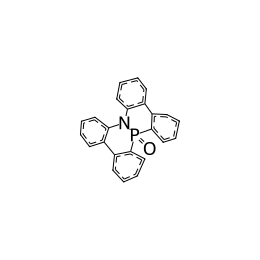 O=P12c3ccccc3-c3ccccc3N1c1ccccc1-c1ccccc12